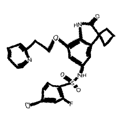 O=C1Nc2c(OCCc3ccccn3)cc(NS(=O)(=O)c3ccc(Cl)cc3F)cc2C12CCC2